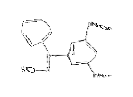 CCCCCCCCCc1cc(CCCCCCCCC)cc(C(=NO)c2ccccc2)c1